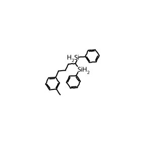 Cc1cccc(CCCC([SiH2]c2ccccc2)[SiH2]c2ccccc2)c1